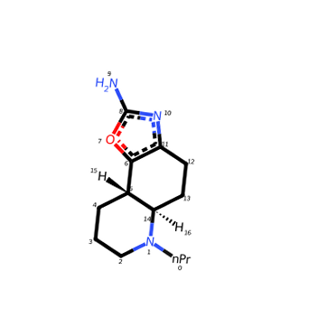 CCCN1CCC[C@@H]2c3oc(N)nc3CC[C@H]21